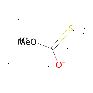 COC([O-])=S.[K+]